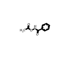 CC(=O)ONC(=O)c1ccccc1